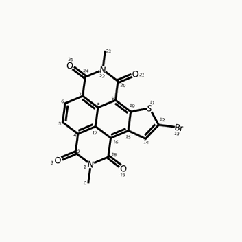 CN1C(=O)c2ccc3c4c(c5sc(Br)cc5c(c24)C1=O)C(=O)N(C)C3=O